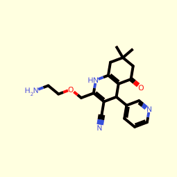 CC1(C)CC(=O)C2=C(C1)NC(COCCN)=C(C#N)C2c1cccnc1